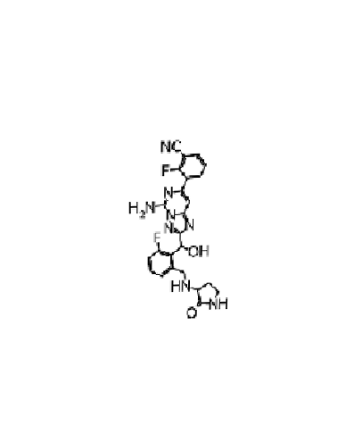 N#Cc1cccc(-c2cc3nc(C(O)c4c(F)cccc4CN[C@H]4CCNC4=O)nn3c(N)n2)c1F